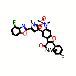 CNC(=O)c1c(-c2ccc(F)cc2)oc2cc(N(C)S(C)(=O)=O)c(-c3cc(-c4nc5c(F)cccc5o4)n(C)c3)cc12